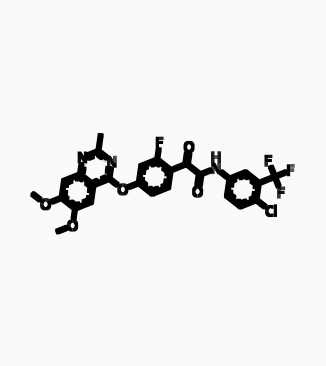 COc1cc2nc(C)nc(Oc3ccc(C(=O)C(=O)Nc4ccc(Cl)c(C(F)(F)F)c4)c(F)c3)c2cc1OC